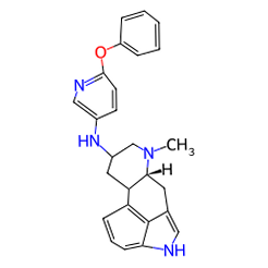 CN1CC(Nc2ccc(Oc3ccccc3)nc2)CC2c3cccc4[nH]cc(c34)C[C@H]21